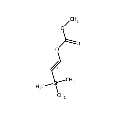 COC(=O)O/C=C/[Si](C)(C)C